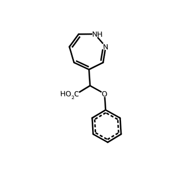 O=C(O)C(Oc1ccccc1)C1=CC=CNN=C1